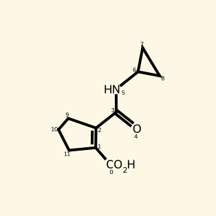 O=C(O)C1=C(C(=O)NC2CC2)CCC1